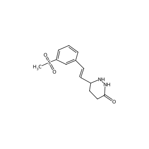 CS(=O)(=O)c1cccc(/C=C/C2CCC(=O)NN2)c1